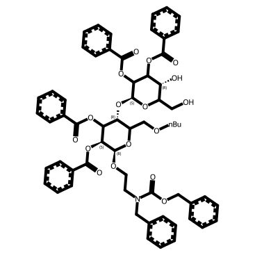 CCCCOCC1O[C@@H](OCCN(Cc2ccccc2)C(=O)OCc2ccccc2)[C@@H](OC(=O)c2ccccc2)C(OC(=O)c2ccccc2)[C@@H]1O[C@@H]1OC(CO)[C@@H](O)C(OC(=O)c2ccccc2)C1OC(=O)c1ccccc1